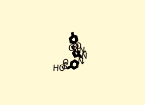 Cc1ccc(S(=O)(=O)n2ccc3c(N(C)C4CCC(CS(=O)O)CC4)ncnc32)cc1